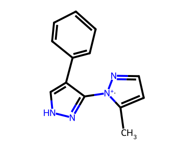 CC1=CC=N[N+]1c1n[nH]cc1-c1ccccc1